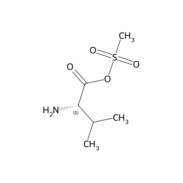 CC(C)[C@H](N)C(=O)OS(C)(=O)=O